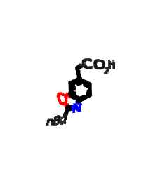 CCCCc1nc2ccc(CC(=O)O)cc2o1